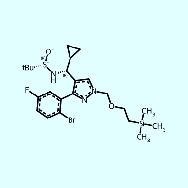 CC(C)(C)[S@+]([O-])N[C@@H](c1cn(COCC[Si](C)(C)C)nc1-c1cc(F)ccc1Br)C1CC1